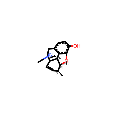 C[C@H]1C=CC2C3Cc4ccc(O)c5c4[C@@]2(CCN3C)[C@H]1O5